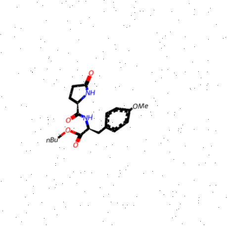 CCCCOC(=O)[C@H](Cc1ccc(OC)cc1)NC(=O)[C@H]1CCC(=O)N1